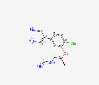 C[C@@H](CNC=N)Oc1cc(/C(C=N)=C/N)ccc1Cl